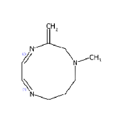 C=C1CN(C)CCC/N=C\C=N/1